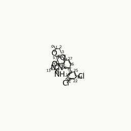 CC1CC[C@@]2(CO1)C[C@]1(N=C(N)N(C)O1)c1cc(-c3cc(Cl)cc(Cl)c3)ccc1O2